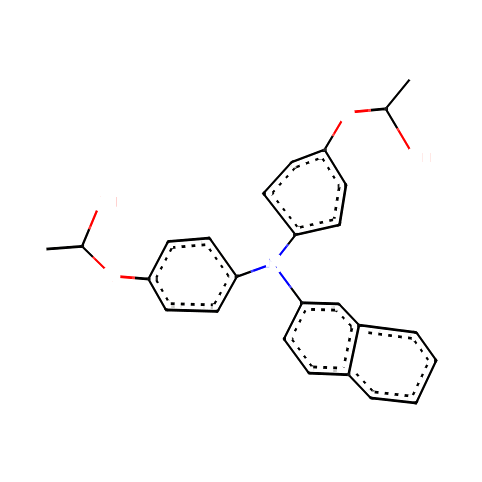 CC(O)Oc1ccc(N(c2ccc(OC(C)O)cc2)c2ccc3ccccc3c2)cc1